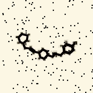 Clc1ccc(CNCC2CCC(C#CCN3CCCCC3)CC2)nn1